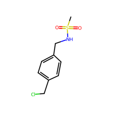 CS(=O)(=O)NCc1ccc(CCl)cc1